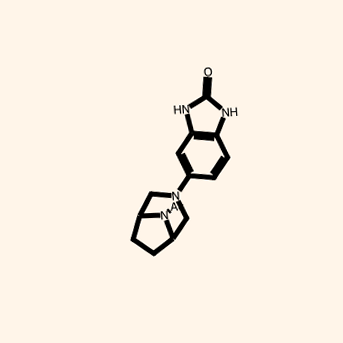 CC(=O)N1C2CCC1CN(c1ccc3[nH]c(=O)[nH]c3c1)C2